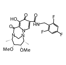 CO[C@@H]1[C@H](OC)[C@H](C)N2CN([C@@H]1C)n1cc(C(=O)NCc3c(F)cc(F)cc3F)c(=O)c(O)c1C2=O